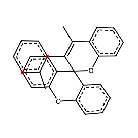 CC1=C(c2ccccc2C)C2(Oc3ccccc31)c1ccccc1Oc1ccccc12